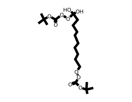 CC(C)(C)OC(=O)OOCCCCCCCCCC(O)(O)OOC(=O)OC(C)(C)C